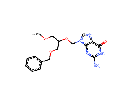 CCCCCCCCOCC(COCc1ccccc1)OCn1cnc2c(=O)[nH]c(N)nc21